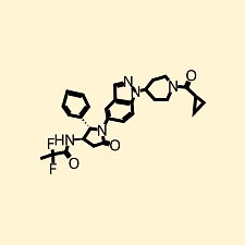 CC(F)(F)C(=O)N[C@@H]1CC(=O)N(c2ccc3c(cnn3C3CCN(C(=O)C4CC4)CC3)c2)[C@H]1c1ccccc1